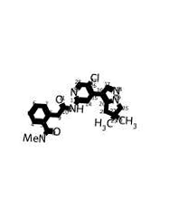 CNC(=O)c1ccccc1CC(=O)Nc1cc(-c2cnn3c2CC(C)(C)C3)c(Cl)cn1